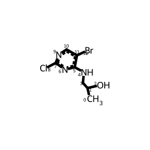 CC(O)CNc1nc(Cl)ncc1Br